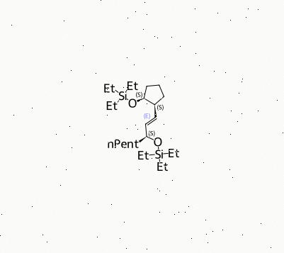 CCCCC[C@@H](/C=C/[C@@H]1CCC[C@@H]1O[Si](CC)(CC)CC)O[Si](CC)(CC)CC